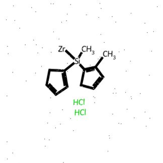 CC1=C([Si](C)([Zr])C2=CC=CC2)CC=C1.Cl.Cl